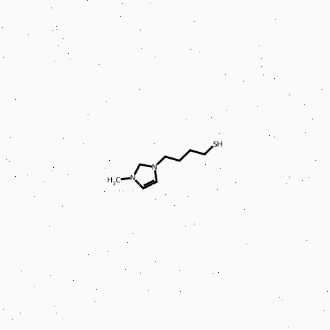 CN1C=CN(CCCCS)C1